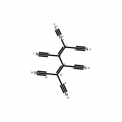 [C-]#[N+]/C(C#N)=C(\C#N)C(C#N)=C(C#N)C#N